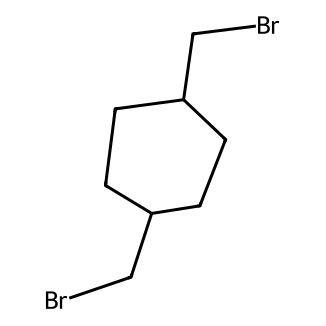 BrCC1CCC(CBr)CC1